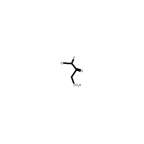 O=C(O)CC(=O)C(F)Cl